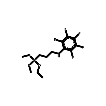 CCO[Si](CCCNc1c(F)c(F)c(F)c(F)c1F)(OC)OC